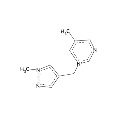 Cc1cnc[n+](Cc2cnn(C)c2)c1